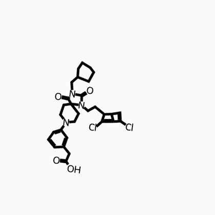 O=C(O)Cc1cccc(N2CCC3(CC2)C(=O)N(CC2CCCCC2)C(=O)N3CCC2C(Cl)=C3C(Cl)=CC32)c1